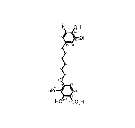 CCCc1c(OCCCCCCc2cc(O)c(O)c(F)c2)ccc(C(=O)O)c1O